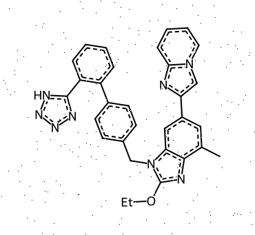 CCOc1nc2c(C)cc(-c3cn4ccccc4n3)cc2n1Cc1ccc(-c2ccccc2-c2nnn[nH]2)cc1